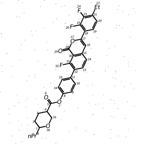 CCCC1CCC(C(=O)Oc2ccc(-c3ccc4cc(-c5ccc(CC)c(F)c5F)oc(=O)c4c3F)cc2)CO1